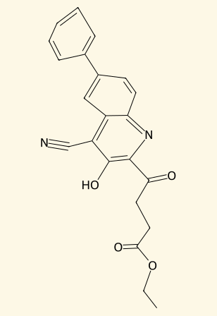 CCOC(=O)CCC(=O)c1nc2ccc(-c3ccccc3)cc2c(C#N)c1O